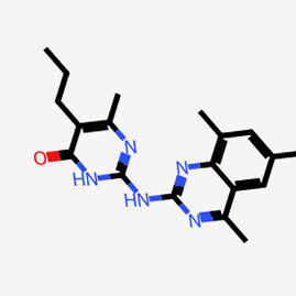 CCCc1c(C)nc(Nc2nc(C)c3cc(C)cc(C)c3n2)[nH]c1=O